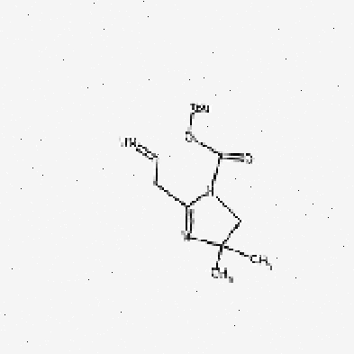 CC1(C)CN(C(=O)OC(C)(C)C)C(CC=N)=N1